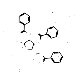 O=C[C@@H]1O[C@@H](COC(=O)c2ccccc2)[C@@H](OC(=O)c2ccccc2)[C@H]1OC(=O)c1ccccc1